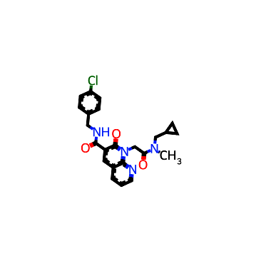 CN(CC1CC1)C(=O)Cn1c(=O)c(C(=O)NCc2ccc(Cl)cc2)cc2cccnc21